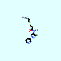 CCN(C(=O)CCSCCOC)c1cn(-c2cccnc2)nc1Cl